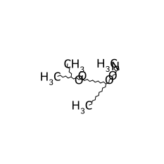 CCCCCCCCCCC(CCCCCCCCC(=O)OCCC(CCCCC)CCCCC)COCOCC1CCN(C)C1